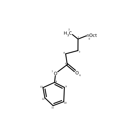 CCCCCCCCC(C)CCC(=O)Oc1ccccc1